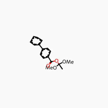 COC(C)(OC)OC(=O)c1ccc(-c2ccccc2)cc1